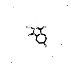 COC(=O)C1CCC(F)CCN1C(=O)O